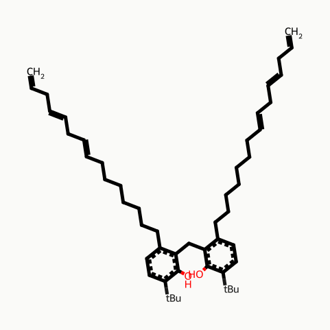 C=CC/C=C/C/C=C/CCCCCCCc1ccc(C(C)(C)C)c(O)c1Cc1c(CCCCCCC/C=C/C/C=C/CC=C)ccc(C(C)(C)C)c1O